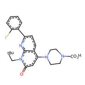 CC(C)(C)Cn1c(=O)cc(N2CCN(C(=O)O)CC2)c2ccc(-c3ccccc3F)nc21